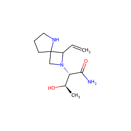 C=CC1N([C@H](C(N)=O)[C@@H](C)O)CC12CCCN2